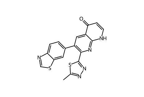 Cc1nnc(-c2nc3[nH]ccc(=O)c3cc2-c2ccc3ncsc3c2)s1